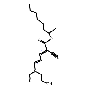 CCCCCCC(C)OC(=O)/C(C#N)=C/C=C/N(CC)CCO